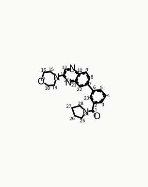 O=C(c1cccc(-c2ccc3ncc(N4CCOCC4)nc3c2)c1)N1CCCC1